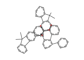 CC1(C)c2ccccc2-c2cc(N(c3ccc4c(c3)-c3ccccc3C4(C)C)c3cccc(-c4ccccc4)c3-c3ccccc3-c3ccccc3)ccc21